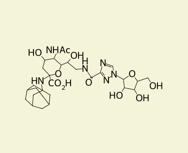 CC(=O)NC1C(O)CC(NC23CC4CC(CC(C4)C2)C3)(C(=O)O)OC1C(O)CNC(=O)c1ncn(C2OC(CO)C(O)C2O)n1